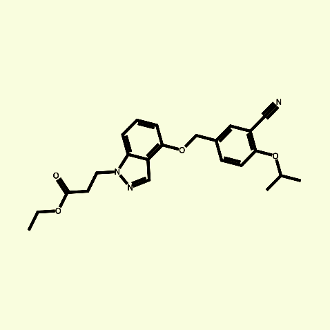 CCOC(=O)CCn1ncc2c(OCc3ccc(OC(C)C)c(C#N)c3)cccc21